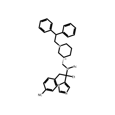 CCC(Cc1ccc(C#N)cc1)(c1cnc[nH]1)N(C[C@H]1CCCN(CC(c2ccccc2)c2ccccc2)C1)C(C)=O